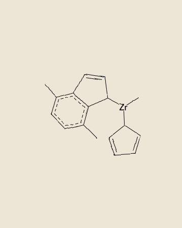 Cc1ccc(C)c2c1C=C[CH]2[Zr]([CH3])[CH]1C=CC=C1